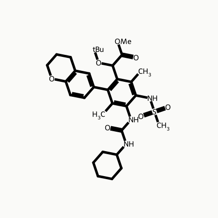 COC(=O)C(OC(C)(C)C)c1c(C)c(NS(C)(=O)=O)c(NC(=O)NC2CCCCC2)c(C)c1-c1ccc2c(c1)CCCO2